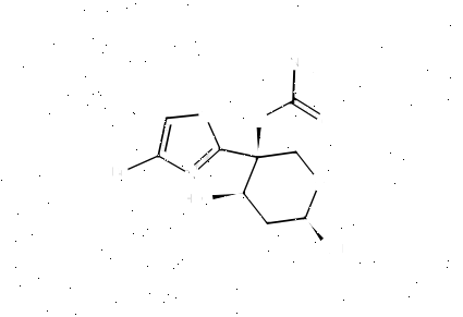 C[C@H]1C[C@@H](C=O)[C@](OC(N)=O)(c2nc(Br)cs2)CO1